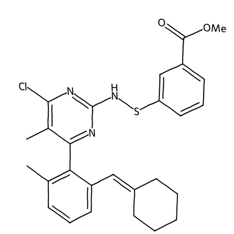 COC(=O)c1cccc(SNc2nc(Cl)c(C)c(-c3c(C)cccc3C=C3CCCCC3)n2)c1